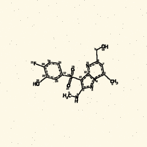 CNc1nn2c(C)cc(CO)nc2c1S(=O)(=O)c1ccc(F)c(O)c1